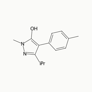 Cc1ccc(-c2c(C(C)C)nn(C)c2O)cc1